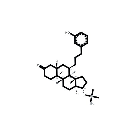 CC(C)(C)[Si](C)(C)O[C@H]1CC[C@H]2[C@@H]3[C@H](CCCc4cccc(O)c4)C[C@H]4CC(=O)CC[C@]4(C)[C@H]3CC[C@]12C